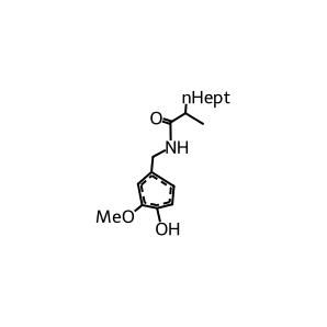 CCCCCCCC(C)C(=O)NCc1ccc(O)c(OC)c1